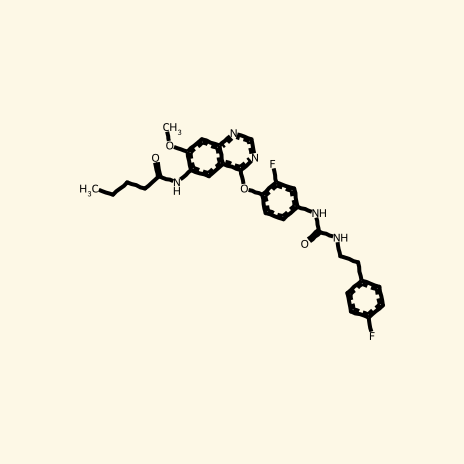 CCCCC(=O)Nc1cc2c(Oc3ccc(NC(=O)NCCc4ccc(F)cc4)cc3F)ncnc2cc1OC